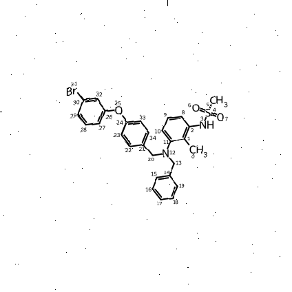 Cc1c(NS(C)(=O)=O)cccc1N(Cc1ccccc1)Cc1ccc(Oc2cccc(Br)c2)cc1